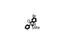 CSc1nc2ccc(Br)cc2c(=O)n1-c1ccccc1